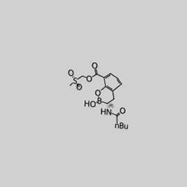 CCCCC(=O)N[C@H]1Cc2cccc(C(=O)OCS(C)(=O)=O)c2OB1O